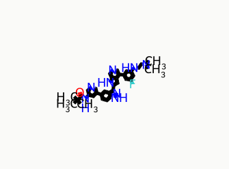 CN(C)CCNc1cc(F)cc(-c2cncc3[nH]c(-c4n[nH]c5ccc(-c6cncc(NC(=O)C(C)(C)C)c6)cc45)cc23)c1